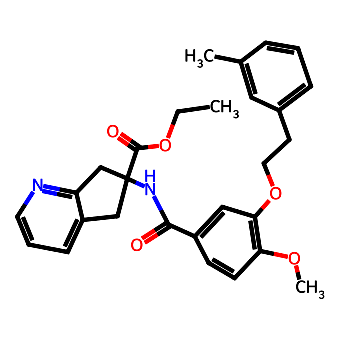 CCOC(=O)C1(NC(=O)c2ccc(OC)c(OCCc3cccc(C)c3)c2)Cc2cccnc2C1